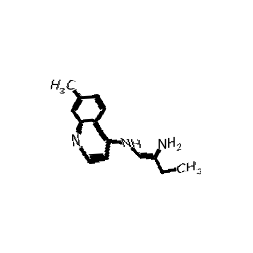 CC/C(N)=C/Nc1ccnc2cc(C)ccc12